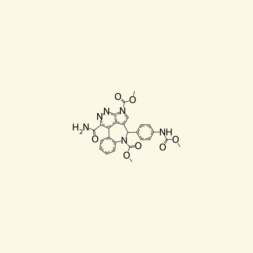 COC(=O)Nc1ccc(C2c3cn(C(=O)OC)c4nnc(C(N)=O)c(c34)-c3ccccc3N2C(=O)OC)cc1